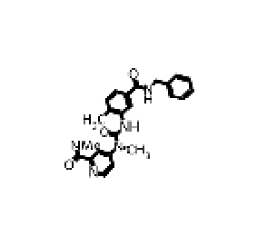 CNC(=O)c1cc(N(C)C(=O)Nc2cc(C(=O)NCc3ccccc3)ccc2C)ccn1